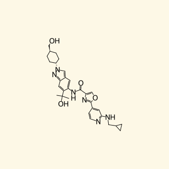 CC(C)(O)c1cc2nn([C@H]3CC[C@H](CO)CC3)cc2cc1NC(=O)c1coc(-c2ccnc(NCC3CC3)c2)n1